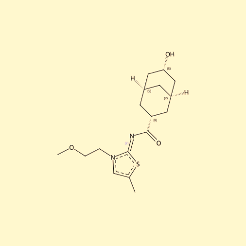 COCCn1cc(C)s/c1=N\C(=O)[C@H]1C[C@@H]2C[C@@H](O)C[C@@H](C2)C1